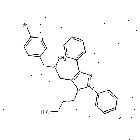 CCCCn1c(-c2ccccc2)nc(-c2ccccc2)c1CN(C)Cc1ccc(Br)cc1